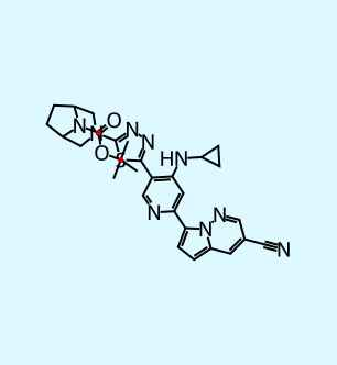 CC(C)(C)OC(=O)N1C2CCC1CN(c1nnc(-c3cnc(-c4ccc5cc(C#N)cnn45)cc3NC3CC3)s1)C2